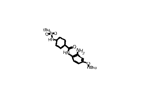 CCCCOc1ccc(NC(=O)C2CCC(NS(=O)(=O)C(C)(C)C)CC2)c(N)c1